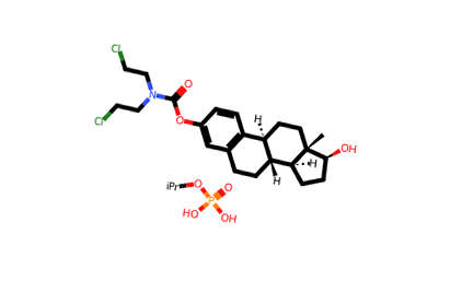 CC(C)OP(=O)(O)O.C[C@]12CC[C@@H]3c4ccc(OC(=O)N(CCCl)CCCl)cc4CC[C@H]3[C@@H]1CC[C@@H]2O